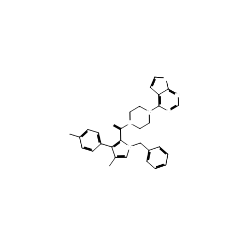 Cc1cn(Cc2ccccc2)c(C(=O)N2CCN(c3ncnc4sccc34)CC2)c1-c1ccc(Cl)cc1